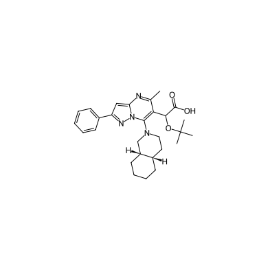 Cc1nc2cc(-c3ccccc3)nn2c(N2CC[C@@H]3CCCC[C@@H]3C2)c1C(OC(C)(C)C)C(=O)O